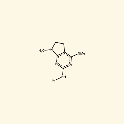 CCCNc1nc(NC)c2c(n1)N(C)CC2